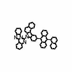 c1ccc2c(-c3c4ccccc4c(-c4ccc5c(c4)c4c6ccccc6ccc4n5-c4nc5ccccc5c5nc6ccccc6n45)c4ccccc34)cccc2c1